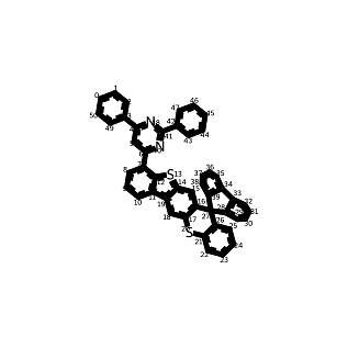 c1ccc(-c2cc(-c3cccc4c3sc3cc5c(cc34)Sc3ccccc3C53c4ccccc4-c4ccccc43)nc(-c3ccccc3)n2)cc1